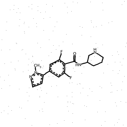 Cn1nccc1-c1cc(F)c(C(=O)NC2CCCNC2)c(F)c1